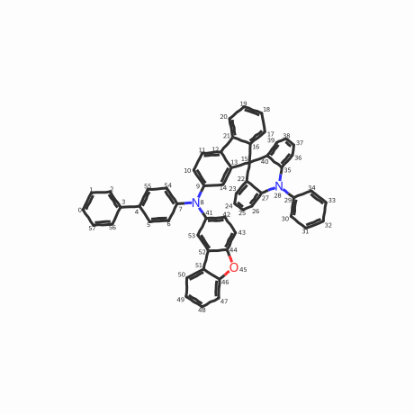 c1ccc(-c2ccc(N(c3ccc4c(c3)C3(c5ccccc5-4)c4ccccc4N(c4ccccc4)c4ccccc43)c3ccc4oc5ccccc5c4c3)cc2)cc1